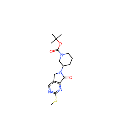 CSc1ncc2c(n1)C(=O)N(C1CCCN(C(=O)OC(C)(C)C)C1)C2